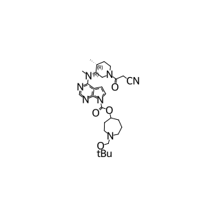 C[C@@H]1CCN(C(=O)CC#N)C[C@@H]1N(C)c1ncnc2c1ccn2C(=O)OC1CCCN(COC(C)(C)C)CC1